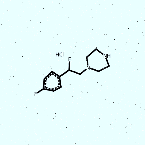 Cl.Fc1ccc(C(F)CN2CCNCC2)cc1